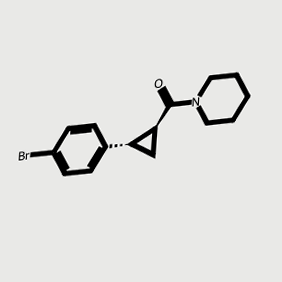 O=C([C@H]1C[C@@H]1c1ccc(Br)cc1)N1CCCCC1